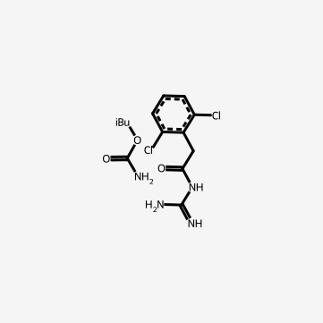 CCC(C)OC(N)=O.N=C(N)NC(=O)Cc1c(Cl)cccc1Cl